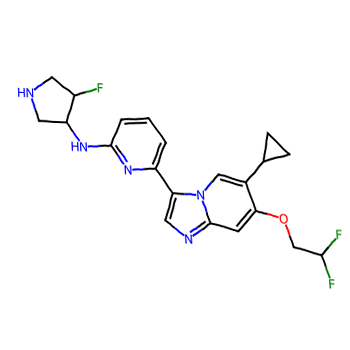 FC(F)COc1cc2ncc(-c3cccc(NC4CNCC4F)n3)n2cc1C1CC1